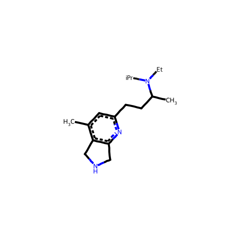 CCN(C(C)C)C(C)CCc1cc(C)c2c(n1)CNC2